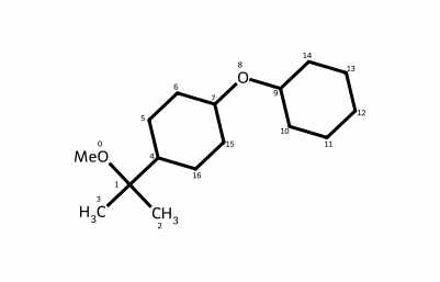 COC(C)(C)C1CCC(OC2CCCCC2)CC1